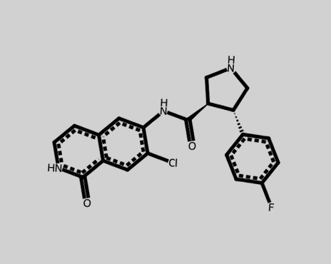 O=C(Nc1cc2cc[nH]c(=O)c2cc1Cl)[C@H]1CNC[C@@H]1c1ccc(F)cc1